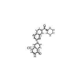 O=C(c1ccc2ncc(-c3ccc4c(=O)[nH]cc(Cl)c4c3)nc2c1)N1CCCCC1